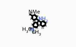 CNCc1ccc(C(N)(c2ccccc2)c2ccc(N(C)C)cc2)cc1